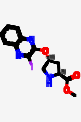 COC(=O)[C@@H]1C[C@@H](Oc2nc3ccccc3nc2I)CN1